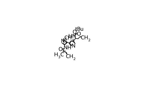 C=CCC(NC(=O)OC(C)(C)C)c1cncc(-c2c(NC(=O)[C@H](C)C=C)cnn2C)c1